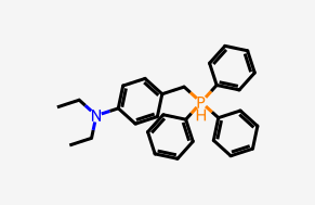 CCN(CC)c1ccc(C[PH](c2ccccc2)(c2ccccc2)c2ccccc2)cc1